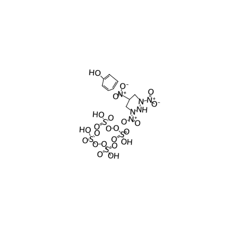 O=S(=O)(O)OOS(=O)(=O)O.O=S(=O)(O)OOS(=O)(=O)O.O=[N+]([O-])C1CN([N+](=O)[O-])NN([N+](=O)[O-])C1.Oc1ccccc1